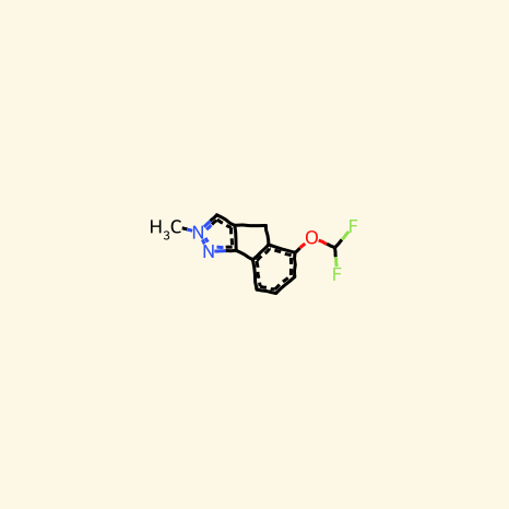 Cn1cc2c(n1)-c1cccc(OC(F)F)c1C2